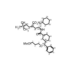 COCCCO[C@@H](c1ccccc1)[C@@H]1CCCN(C(=O)N[C@@H](CC2CCCCC2)CN(CC[Si](C)(C)C)C(=O)O)C1